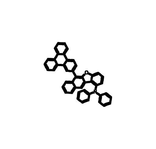 c1ccc(N(c2ccccc2)c2cccc3oc4c(-c5ccc6c7ccccc7c7ccccc7c6c5)c5ccccc5cc4c23)cc1